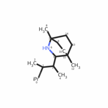 CC(C)C(C)C(C)C1NC2(C)CCC1(C)CC2